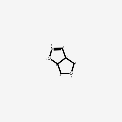 C1=NOC2COCC12